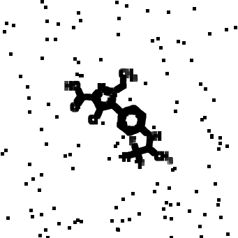 CCn1nc(C(=O)O)c(Cl)c1-c1ccc(NC(C)C(F)(F)F)cc1